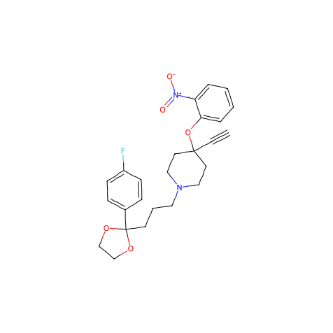 C#CC1(Oc2ccccc2[N+](=O)[O-])CCN(CCCC2(c3ccc(F)cc3)OCCO2)CC1